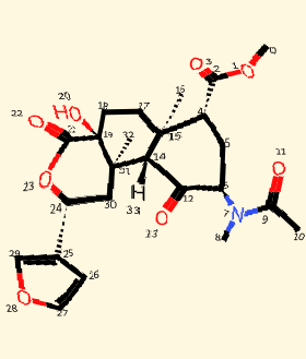 COC(=O)[C@@H]1C[C@@H](N(C)C(C)=O)C(=O)[C@H]2[C@@]1(C)CC[C@@]1(O)C(=O)O[C@@H](c3ccoc3)C[C@]21C